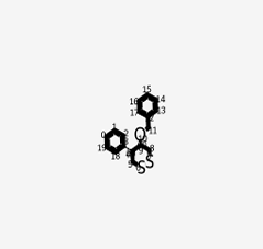 [c]1ccc([C@H]2CSSC[C@@H]2OCc2ccccc2)cc1